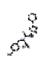 N#C/C(=C\c1ccc(O)cc1Br)C(=O)Nc1nc(-c2ccccc2)cs1